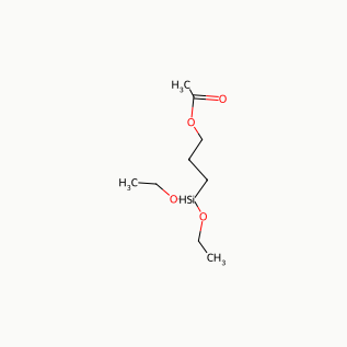 CCO[SiH](CCCOC(C)=O)OCC